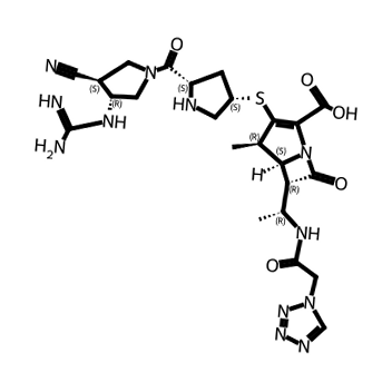 C[C@@H](NC(=O)Cn1cnnn1)[C@H]1C(=O)N2C(C(=O)O)=C(S[C@@H]3CN[C@H](C(=O)N4C[C@H](NC(=N)N)[C@@H](C#N)C4)C3)[C@H](C)[C@H]12